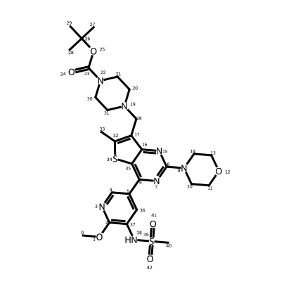 COc1ncc(-c2nc(N3CCOCC3)nc3c(CN4CCN(C(=O)OC(C)(C)C)CC4)c(C)sc23)cc1NS(C)(=O)=O